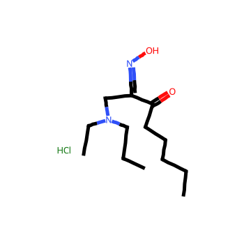 CCCCCC(=O)/C(CN(CC)CCC)=N\O.Cl